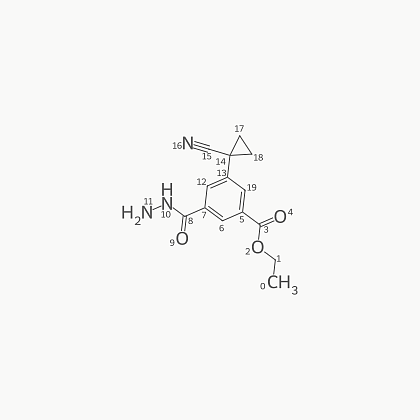 CCOC(=O)c1cc(C(=O)NN)cc(C2(C#N)CC2)c1